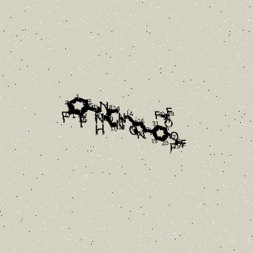 Fc1cccc(-c2nc3c([nH]2)C=NN(Cc2cc(-c4ccc(OC(F)F)c(OC(F)F)c4)no2)C3)c1F